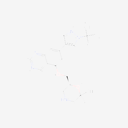 CC1(C)CNC[C@@H](COc2cc(-c3cnn(C(C)(C)C)c3)cc3ncncc23)O1